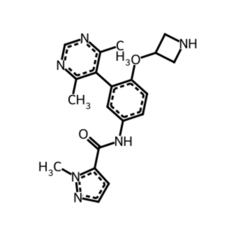 Cc1ncnc(C)c1-c1cc(NC(=O)c2ccnn2C)ccc1OC1CNC1